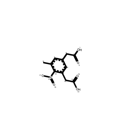 Cc1cc(CC(=O)O)cc(CC(=O)O)c1[N+](=O)[O-]